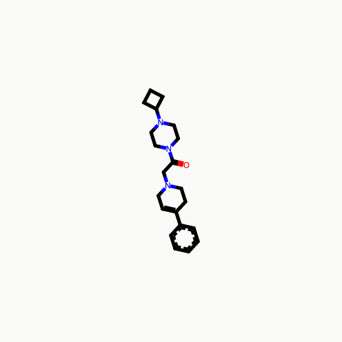 O=C(CN1CC=C(c2ccccc2)CC1)N1CCN(C2CCC2)CC1